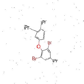 CC(C)c1cc(Br)c(Oc2ccc(C(C)C)c(C(C)C)c2)c(Br)c1